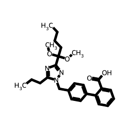 CCCCC(OC)(OC)c1nc(CCC)n(Cc2ccc(-c3ccccc3C(=O)O)cc2)n1